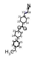 CCc1ccc(C2CCC(OC(=O)C3CCC(/C=C/C#N)CC3)CC2)cc1